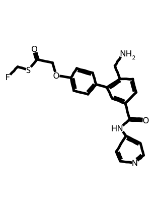 NCc1ccc(C(=O)Nc2ccncc2)cc1-c1ccc(OCC(=O)SCF)cc1